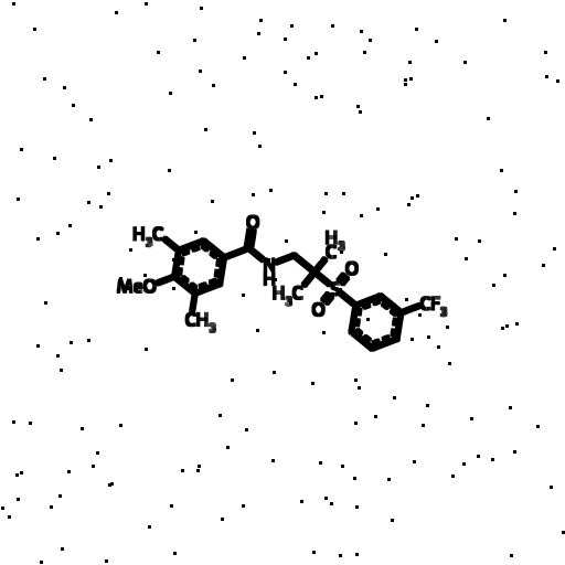 COc1c(C)cc(C(=O)NCC(C)(C)S(=O)(=O)c2cccc(C(F)(F)F)c2)cc1C